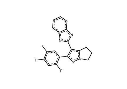 Cc1cc(-c2nn3c(c2-c2nc4ccccn4n2)CCC3)c(F)cc1F